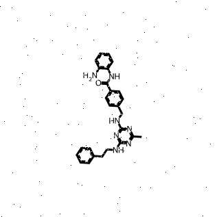 Cc1nc(NCCc2ccccc2)nc(NCc2ccc(C(=O)Nc3ccccc3N)cc2)n1